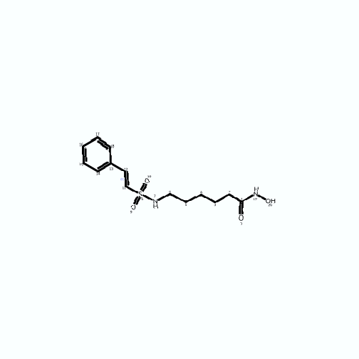 O=C(CCCCCNS(=O)(=O)/C=C/c1ccccc1)NO